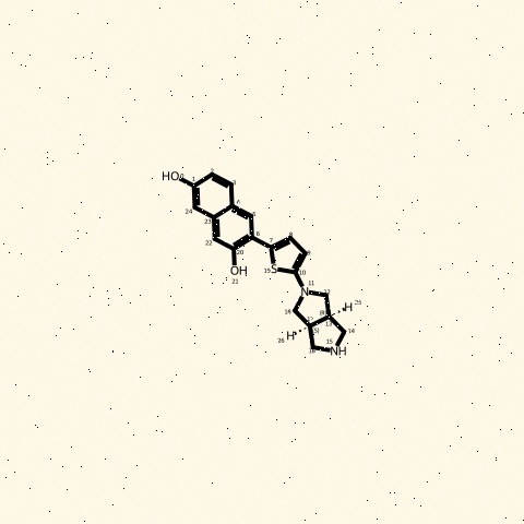 Oc1ccc2cc(-c3ccc(N4C[C@H]5CNC[C@H]5C4)s3)c(O)cc2c1